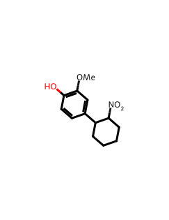 COc1cc(C2CCCCC2[N+](=O)[O-])ccc1O